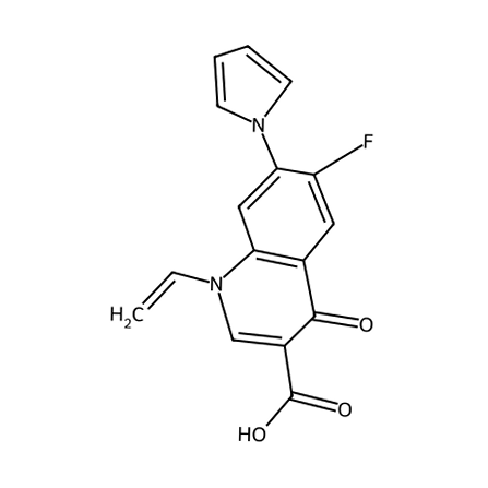 C=Cn1cc(C(=O)O)c(=O)c2cc(F)c(-n3cccc3)cc21